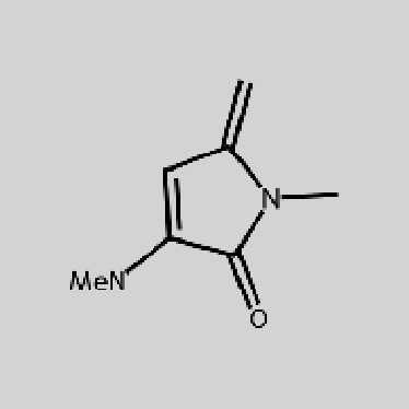 C=C1C=C(NC)C(=O)N1C